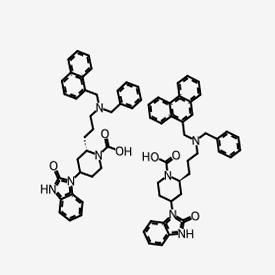 O=C(O)N1CCC(n2c(=O)[nH]c3ccccc32)C[C@@H]1CCCN(Cc1ccccc1)Cc1cc2ccccc2c2ccccc12.O=C(O)N1CCC(n2c(=O)[nH]c3ccccc32)C[C@@H]1CCCN(Cc1ccccc1)Cc1cccc2ccccc12